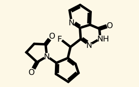 O=C1CCC(=O)N1c1ccccc1C(F)c1n[nH]c(=O)c2cccnc12